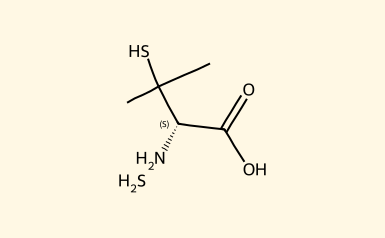 CC(C)(S)[C@@H](N)C(=O)O.S